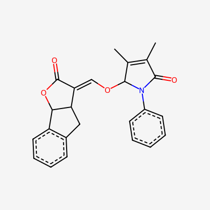 CC1=C(C)C(O/C=C2/C(=O)OC3c4ccccc4CC23)N(c2ccccc2)C1=O